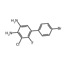 Nc1cc(-c2ccc(Br)cc2)c(F)c(Cl)c1N